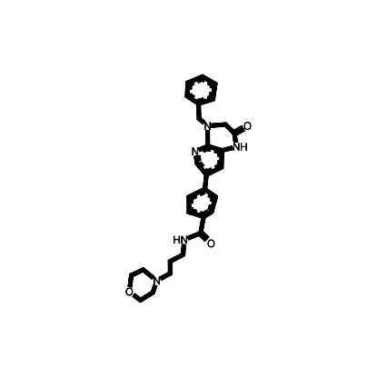 O=C1CN(Cc2ccccc2)c2ncc(-c3ccc(C(=O)NCCCN4CCOCC4)cc3)cc2N1